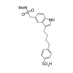 CNS(=O)(=O)Cc1ccc2[nH]cc(CCCCc3ccc(S(=O)(=O)O)cc3)c2c1